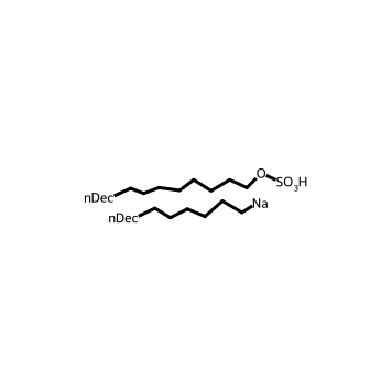 CCCCCCCCCCCCCCCCCCOS(=O)(=O)O.CCCCCCCCCCCCCCC[CH2][Na]